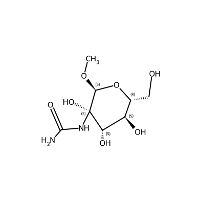 CO[C@H]1O[C@H](CO)[C@@H](O)[C@H](O)[C@@]1(O)NC(N)=O